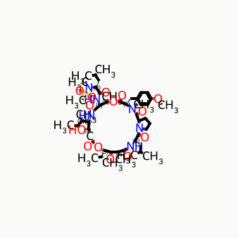 CC[C@H](C)[C@H]1NC(=O)[C@@H](NC(=O)[C@@H](CC(C)C)N(C)S(C)(=O)=O)[C@@H](C)OC(=O)[C@H](Cc2ccc(OC)cc2)N(C)C(=O)C2CCCN2C(=O)[C@H](CC(C)C)NC(=O)[C@@H](C)C(=O)[C@H](C(C)C)OC(=O)C[C@@H]1O